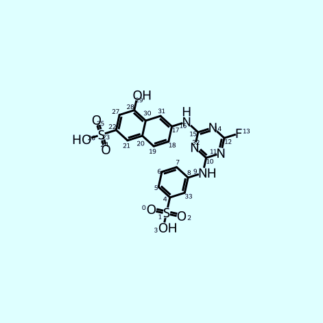 O=S(=O)(O)c1cccc(Nc2nc(F)nc(Nc3ccc4cc(S(=O)(=O)O)cc(O)c4c3)n2)c1